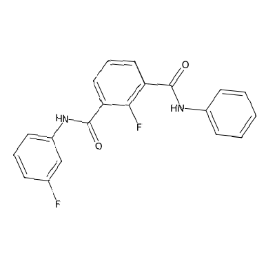 O=C(Nc1ccccc1)c1cccc(C(=O)Nc2cccc(F)c2)c1F